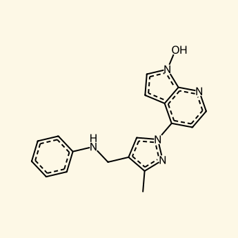 Cc1nn(-c2ccnc3c2ccn3O)cc1CNc1ccccc1